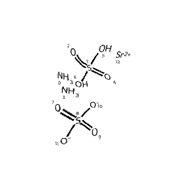 N.N.O=S(=O)(O)O.O=S(=O)([O-])[O-].[Sr+2]